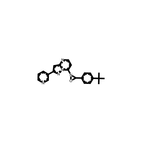 CC(C)(C)c1ccc(C2ON2c2ccnc3cc(-c4cccnc4)nn23)cc1